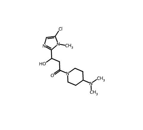 CN(C)C1CCN(C(=O)CC(O)c2ncc(Cl)n2C)CC1